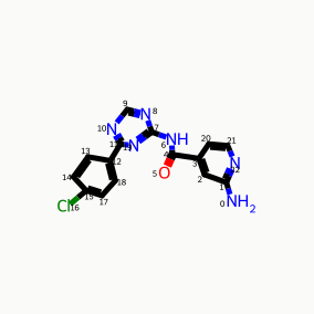 Nc1cc(C(=O)Nc2ncnc(-c3ccc(Cl)cc3)n2)ccn1